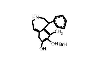 Br.CC1=C2C(=CCNCC2c2ccccc2)CC(O)=C1O